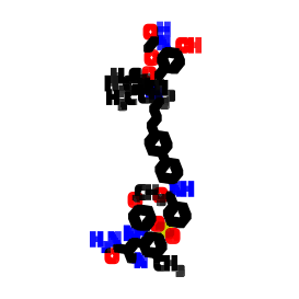 COc1cccc(Nc2c(C(N)=O)cnc3c(C)cc(S(=O)(=O)c4cccc(C(=O)Nc5ccc(-c6ccc(CCCCNC[C@H](O[Si](C)(C)C(C)(C)C)c7ccc(O)c8c7OCC(=O)N8)cc6)cc5)c4)cc23)c1